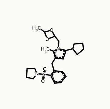 Cc1c(Cc2ccccc2S(=O)(=O)N2CCCC2)cc(C2CCCC2)n1CC1OC(C)O1